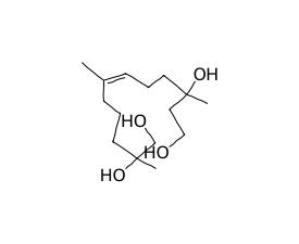 CC(=CCCC(C)(O)CCO)CCCC(C)(O)CO